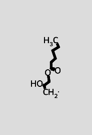 [CH2]C(O)COC(=O)CCCCC